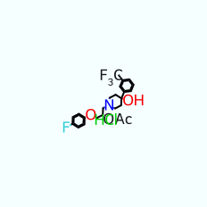 CC(=O)OC(COc1ccc(F)cc1)CN1CCC(O)(c2cccc(C(F)(F)F)c2)CC1.Cl